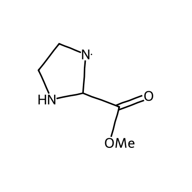 COC(=O)C1[N]CCN1